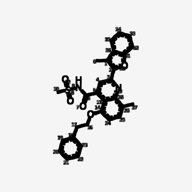 Cc1c(-c2cc(C(=O)NS(C)(=O)=O)c3c(OCCc4ccccc4)ccc(C)c3n2)oc2ccccc12